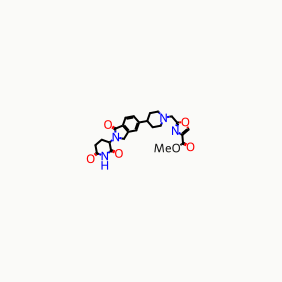 COC(=O)c1coc(CN2CCC(c3ccc4c(c3)CN(C3CCC(=O)NC3=O)C4=O)CC2)n1